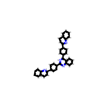 c1ccc2nc(-c3ccc(-c4nc(-c5ccc(-c6ccc7ccccc7n6)cc5)c5ccccc5n4)cc3)ccc2c1